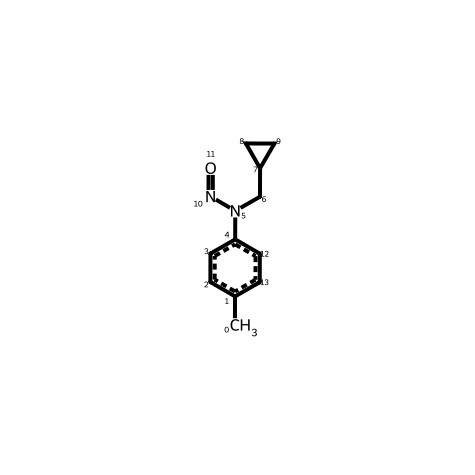 Cc1ccc(N(CC2CC2)N=O)cc1